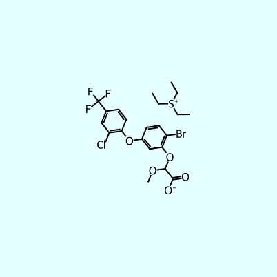 CC[S+](CC)CC.COC(Oc1cc(Oc2ccc(C(F)(F)F)cc2Cl)ccc1Br)C(=O)[O-]